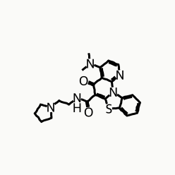 CN(C)c1ccnc2c1c(=O)c(C(=O)NCCN1CCCC1)c1sc3ccccc3n12